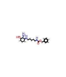 N[C@H]1C(NCCCCCNC(=O)OCc2ccccc2)CCC[C@H]1O